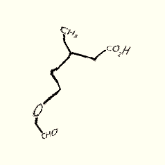 CC(CCOC=O)CC(=O)O